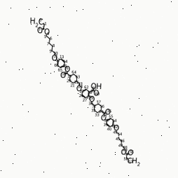 C=CC(=O)OCCCCCCOc1ccc(OC(=O)C2CCC(COc3ccc(OCC4CCC(C(=O)Oc5ccc(OCCCCCCOC(=O)C=C)cc5)CC4)c(C(=O)O)c3)CC2)cc1